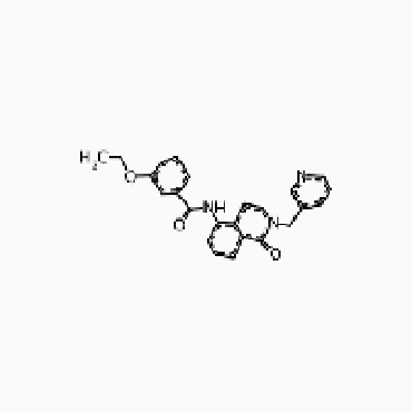 CCOc1cccc(C(=O)Nc2cccc3c(=O)n(Cc4cccnc4)ccc23)c1